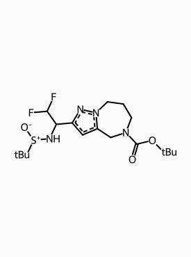 CC(C)(C)OC(=O)N1CCCn2nc(C(N[S+]([O-])C(C)(C)C)C(F)F)cc2C1